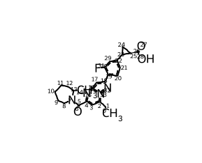 CCc1cc(C(=O)N2CCCCC[C@H]2C)nc2cc(-c3ccc(C4C[C@H]4C(=O)O)cc3F)nn12